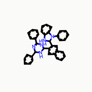 c1ccc(C2=NC(c3ccccc3)NC(c3cc4ccccc4cc3C3Nc4ccccc4N3c3ccccc3)N2)cc1